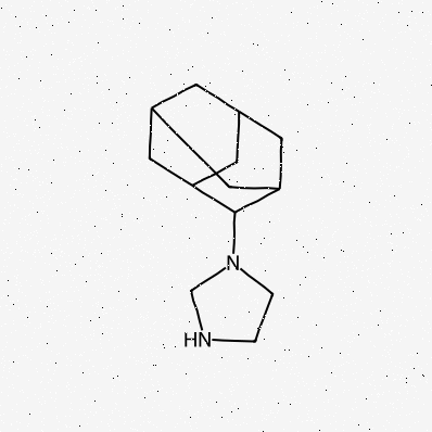 C1CN(C2C3CC4CC(C3)CC2C4)CN1